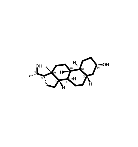 C[C@H](O)[C@H]1CC[C@H]2[C@@H]3CC[C@H]4C[C@H](O)CC[C@@H]4[C@H]3CC[C@]12C